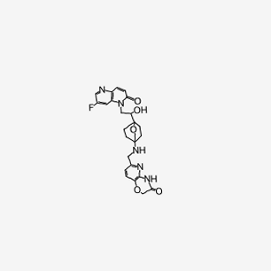 O=C1COc2ccc(CNC34CCC(C(O)Cn5c(=O)ccc6ncc(F)cc65)(CC3)OC4)nc2N1